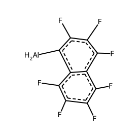 Fc1c(F)c(F)c2[c]([AlH2])c(F)c(F)c(F)c2c1F